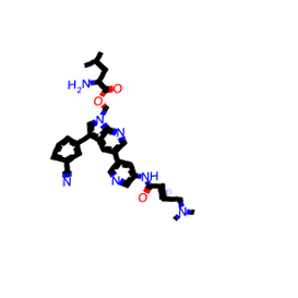 CC(C)CC(N)C(=O)OCn1cc(-c2cccc(C#N)c2)c2cc(-c3cncc(NC(=O)/C=C/CN(C)C)c3)cnc21